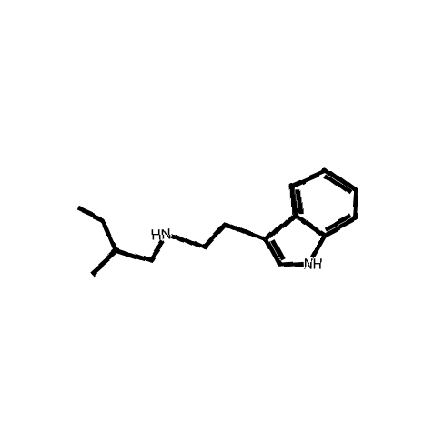 CCC(C)CNCCc1c[nH]c2ccccc12